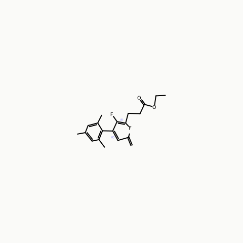 C=C(C)/C=C(\C(F)=C(/F)CCC(=O)OCC)c1c(C)cc(C)cc1C